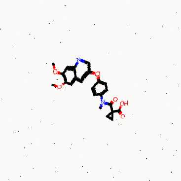 COc1cc2cc(Oc3ccc(N(C)C(=O)C4(C(=O)O)CC4)cc3)cnc2cc1OC